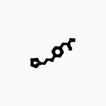 O=C(O)Cc1ccc(OCCn2ccnc2)cc1